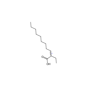 CCCCCCCC/C=C(/CC)C(=O)O